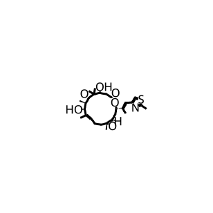 CC(=Cc1csc(C)n1)[C@@H]1C[C@H]2O[C@]2(C)CC/C=C(\C)[C@H](O)[C@@H](C)C(=O)C(C)(C)[C@@H](O)CC(=O)O1